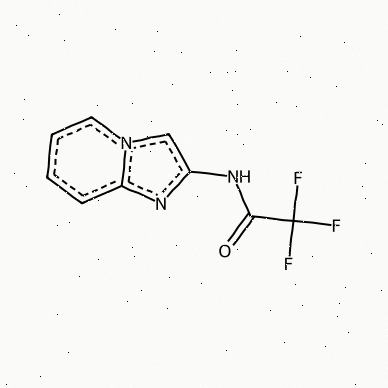 O=C(Nc1cn2ccccc2n1)C(F)(F)F